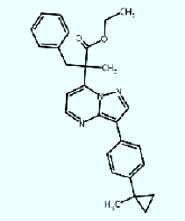 CCOC(=O)C(C)(Cc1ccccc1)c1ccnc2c(-c3ccc(C4(C)CC4)cc3)cnn12